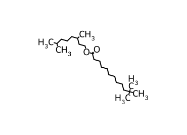 CC(C)CCCC(C)CCOC(=O)CCCCCCCCCC(C)(C)C